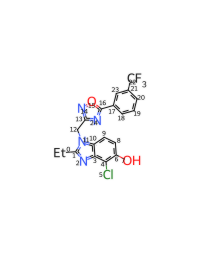 CCc1nc2c(Cl)c(O)ccc2n1Cc1noc(-c2cccc(C(F)(F)F)c2)n1